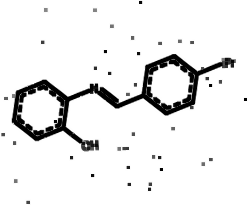 CC(C)c1ccc(/C=N/c2ccccc2O)cc1